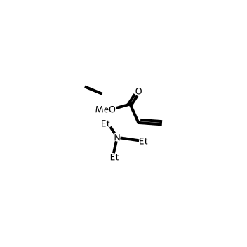 C=CC(=O)OC.CC.CCN(CC)CC